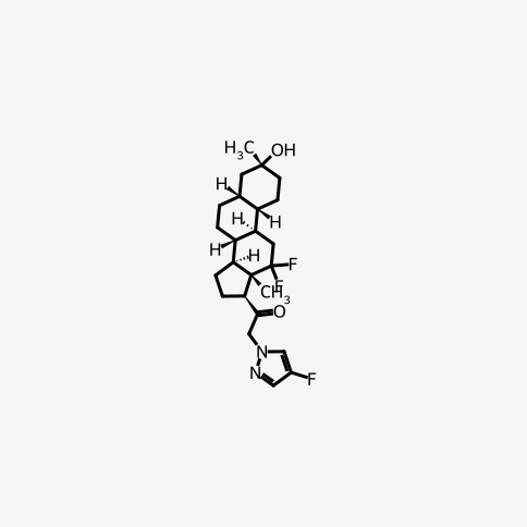 C[C@@]1(O)CC[C@H]2[C@H](CC[C@@H]3[C@@H]2CC(F)(F)[C@]2(C)[C@@H](C(=O)Cn4cc(F)cn4)CC[C@@H]32)C1